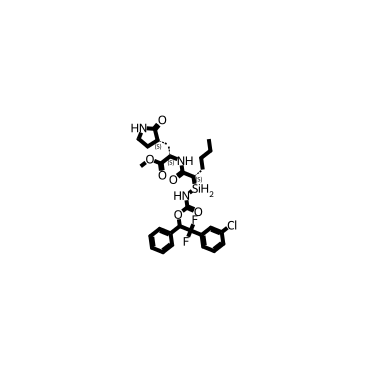 CCCC[C@H]([SiH2]NC(=O)OC(c1ccccc1)C(F)(F)c1cccc(Cl)c1)C(=O)N[C@@H](C[C@@H]1CCNC1=O)C(=O)OC